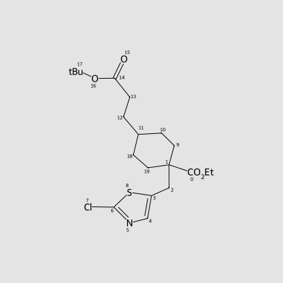 CCOC(=O)C1(Cc2cnc(Cl)s2)CCC(CCC(=O)OC(C)(C)C)CC1